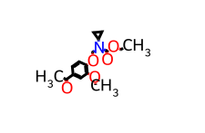 CCOC(=O)N(COc1ccc(C(C)=O)cc1OC)C1CC1